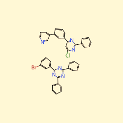 Brc1cccc(-c2nc(-c3ccccc3)nc(-c3ccccc3)n2)c1.Clc1cc(-c2cccc(-c3cccnc3)c2)nc(-c2ccccc2)n1